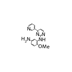 COc1ccc(N)cc1Nc1nccc(-c2cccnc2)n1